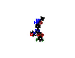 C[C@H]1COCCN1c1cc(CS(=O)(=O)c2cc(F)cc(F)c2)nc(-c2ccc(NC(=O)NC3CCC3)cc2)n1